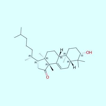 CC(C)CCC[C@@H](C)[C@H]1CC(=O)[C@@]2(C)C3=CC[C@H]4C(C)(C)[C@@H](O)CC[C@]4(C)[C@H]3CC[C@]12C